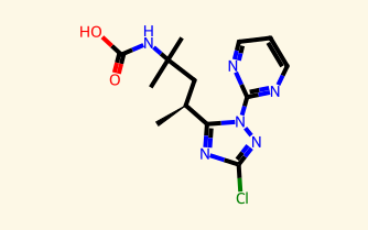 C[C@@H](CC(C)(C)NC(=O)O)c1nc(Cl)nn1-c1ncccn1